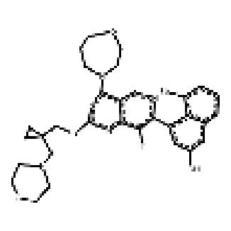 CCc1cccc2cc(O)cc(-c3ncc4c(N5CCCOCC5)nc(OCC5(CN6CCOCC6)CC5)nc4c3F)c12